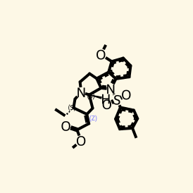 CC[C@@H]1CN2CCc3c(n(S(=O)(=O)c4ccc(C)cc4)c4cccc(OC)c34)[C@@H]2C/C1=C/C(=O)OC